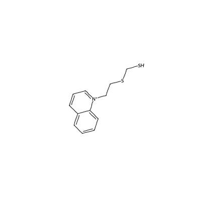 SCSCC[n+]1cccc2ccccc21